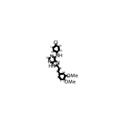 COc1ccc(C=Cc2nc3c(Nc4ccc(Cl)cc4)ncnc3[nH]2)cc1OC